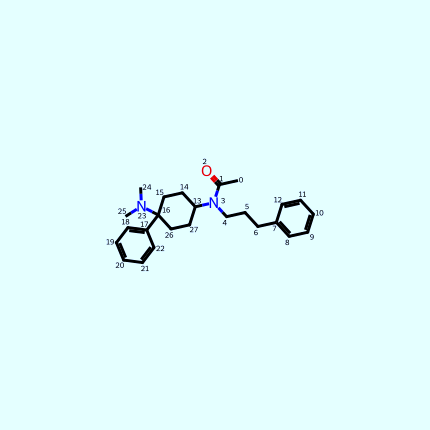 CC(=O)N(CCCc1ccccc1)C1CCC(c2ccccc2)(N(C)C)CC1